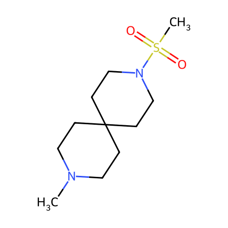 CN1CCC2(CC1)CCN(S(C)(=O)=O)CC2